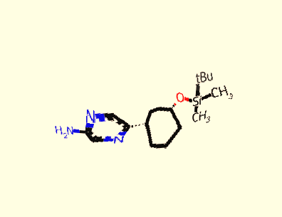 CC(C)(C)[Si](C)(C)O[C@@H]1CCC[C@H](c2cnc(N)cn2)C1